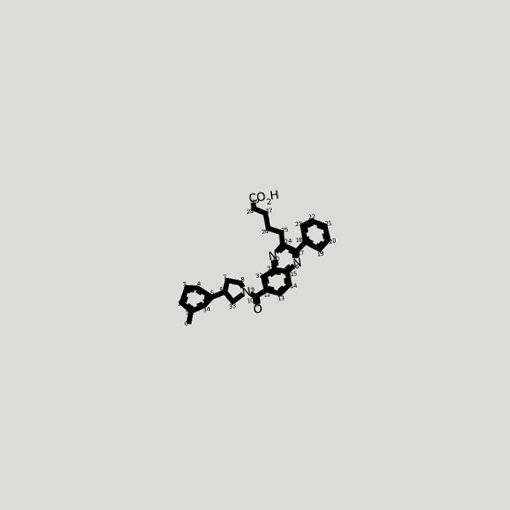 Cc1cccc(C2CCN(C(=O)c3ccc4nc(-c5ccccc5)c(CCCCC(=O)O)nc4c3)C2)c1